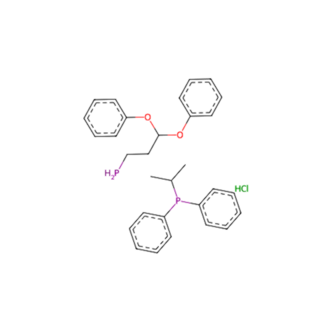 CC(C)P(c1ccccc1)c1ccccc1.Cl.PCCC(Oc1ccccc1)Oc1ccccc1